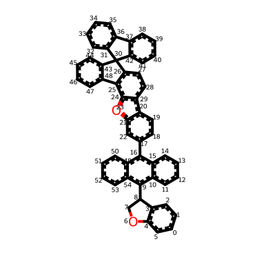 c1ccc2c(c1)OCC2c1c2ccccc2c(-c2ccc3c(c2)oc2c4c(ccc23)C2(c3ccccc3-c3ccccc32)c2ccccc2-4)c2ccccc12